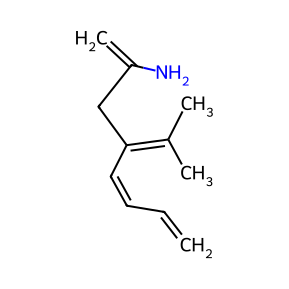 C=C/C=C\C(CC(=C)N)=C(C)C